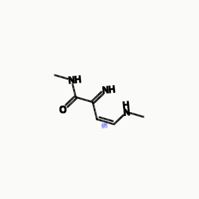 CN/C=C\C(=N)C(=O)NC